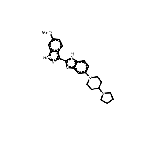 COc1ccc2c(-c3nc4cc(N5CCC(N6CCCC6)CC5)ccc4[nH]3)n[nH]c2c1